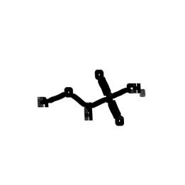 CC(C)ONS(C)(=O)=O